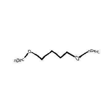 CCCCCCCCCCOCCCCOCCCCCCCCCC